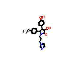 Cc1ccc(C2C(c3ccc(O)cc3)=C(O)C(=O)N2CCCn2ccnc2)cc1